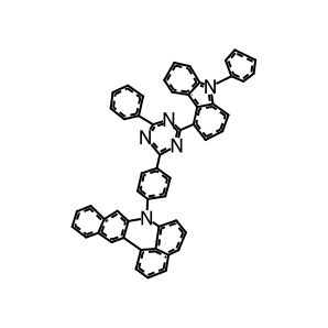 c1ccc(-c2nc(-c3ccc(N4c5cc6ccccc6cc5-c5cccc6cccc4c56)cc3)nc(-c3cccc4c3c3ccccc3n4-c3ccccc3)n2)cc1